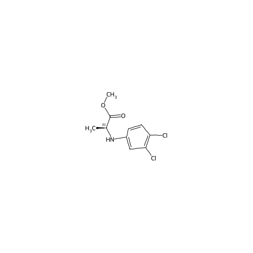 COC(=O)[C@H](C)Nc1ccc(Cl)c(Cl)c1